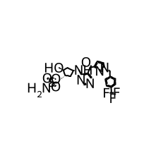 NS(=O)(=O)OC[C@H]1C[C@@H](Nc2ncncc2C(=O)c2ccn(Cc3ccc(C(F)(F)F)cc3)n2)C[C@@H]1O